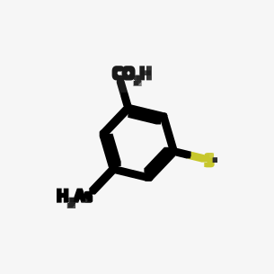 O=C(O)c1cc([S])cc([AsH2])c1